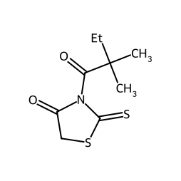 CCC(C)(C)C(=O)N1C(=O)CSC1=S